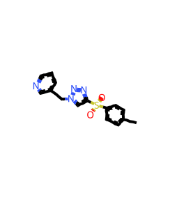 Cc1ccc(S(=O)(=O)c2cn(Cc3cccnc3)nn2)cc1